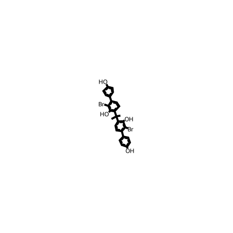 CC(C)(c1ccc(-c2ccc(O)cc2)c(Br)c1O)c1ccc(-c2ccc(O)cc2)c(Br)c1O